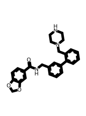 O=C(NCc1cccc(-c2ccccc2CN2CCNCC2)c1)c1ccc2c(c1)OCO2